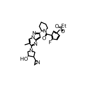 CCS(=O)(=O)c1ccc(F)c(C(=O)N2CCCC[C@H]2c2cc3nc(N4CC(C5=NC5)[C@@H](O)C4)c(C)cn3n2)c1